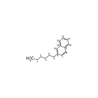 CCCCC[CH]c1ccc2ccccc2c1